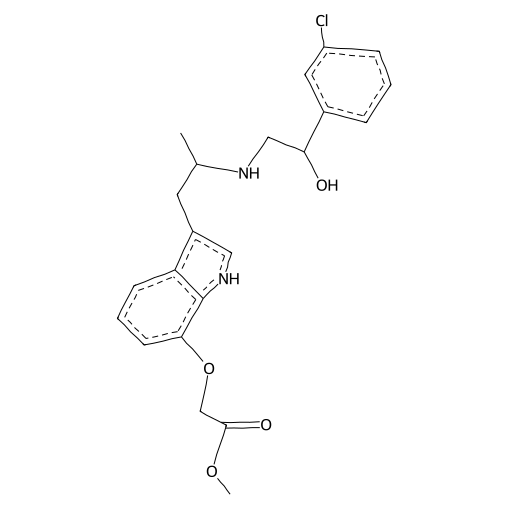 COC(=O)COc1cccc2c(CC(C)NCC(O)c3cccc(Cl)c3)c[nH]c12